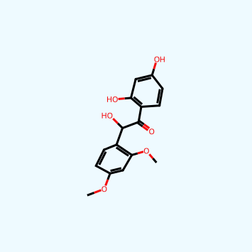 COc1ccc(C(O)C(=O)c2ccc(O)cc2O)c(OC)c1